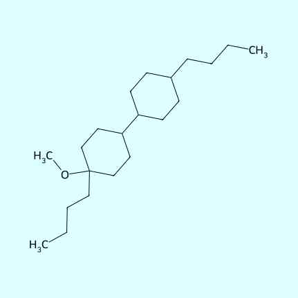 CCCCC1CCC(C2CCC(CCCC)(OC)CC2)CC1